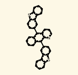 c1ccc2c(c1)sc1ccc(-c3c4ccccc4c(-c4ccc5sc6ccccc6c5c4)c4ncccc34)cc12